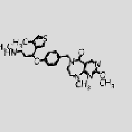 CNCCC(Oc1ccc(CN2CCN(C)c3nc(OC)ncc3C2=O)cc1)c1cscc1C